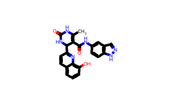 CC1=C(C(=O)Nc2ccc3[nH]ncc3c2)C(c2ccc3cccc(O)c3n2)NC(=O)N1